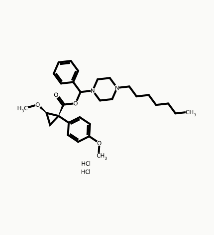 CCCCCCCN1CCN(C(OC(=O)[C@@]2(c3ccc(OC)cc3)C[C@H]2OC)c2ccccc2)CC1.Cl.Cl